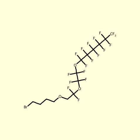 FC(F)(COCCCCBr)OC(F)(F)C(F)(F)OC(F)(F)C(F)(F)C(F)(F)C(F)(F)C(F)(F)C(F)(F)F